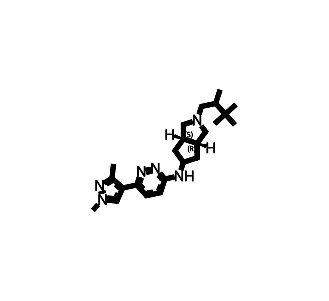 Cc1nn(C)cc1-c1ccc(NC2C[C@@H]3CN(CC(C)C(C)(C)C)C[C@@H]3C2)nn1